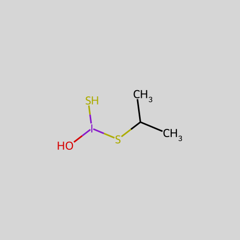 CC(C)SI(O)S